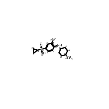 N=S(=O)(c1ccc(N[C@H]2CC[C@H](C(F)(F)F)CC2)c(Br)c1)C1CC1